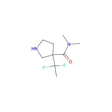 CN(C)C(=O)C1(C(C)(F)F)CCNC1